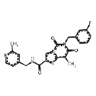 Cc1cc(CNC(=O)c2cn3c(=O)n(Cc4cccc(F)c4)c(=O)c(C)c3s2)ccn1